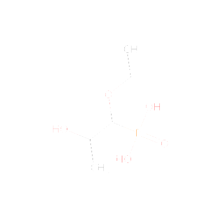 CCOC(C(C)O)P(=O)(O)O